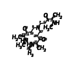 C=C(NC)C(=O)CCN(CCC(=O)C(=C)NC)CCC(=O)C(=C)NC